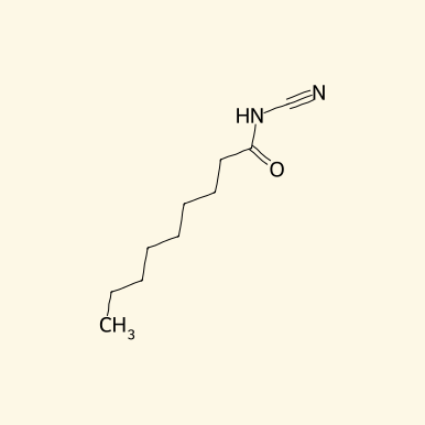 CCCCCCCCC(=O)NC#N